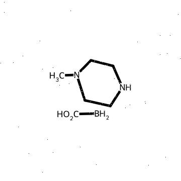 BC(=O)O.CN1CCNCC1